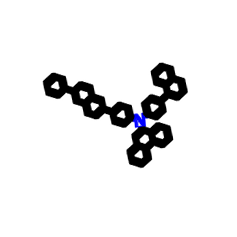 c1ccc(-c2ccc3cc(-c4ccc(N(c5ccc(-c6cccc7ccccc67)cc5)c5cc6ccccc6c6ccccc56)cc4)ccc3c2)cc1